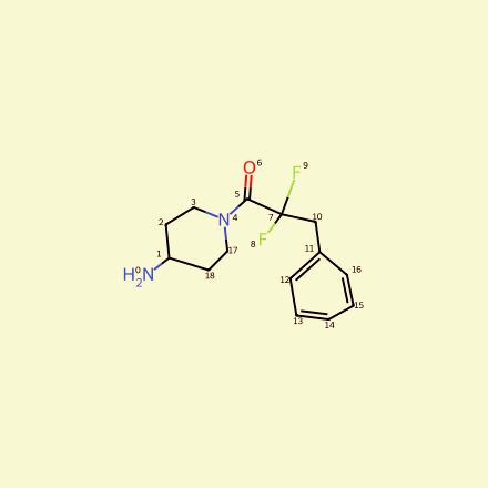 NC1CCN(C(=O)C(F)(F)Cc2ccccc2)CC1